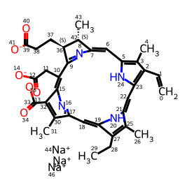 C=Cc1c(C)c2cc3nc(c(CC(=O)[O-])c4nc(cc5[nH]c(cc1[nH]2)c(C)c5CC)C(C)=C4C(=O)[O-])[C@@H](CCC(=O)[O-])[C@@H]3C.[Na+].[Na+].[Na+]